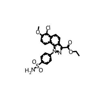 CCOC(=O)c1nn(-c2ccc(S(N)(=O)=O)cc2)c2c1ccc1c(Cl)c(OC)ccc12